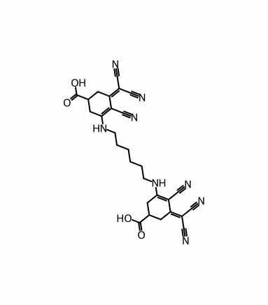 N#CC(C#N)=C1CC(C(=O)O)CC(NCCCCCCNC2=C(C#N)C(=C(C#N)C#N)CC(C(=O)O)C2)=C1C#N